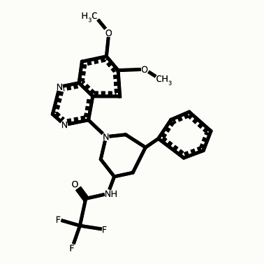 COc1cc2ncnc(N3CC(NC(=O)C(F)(F)F)CC(c4ccccc4)C3)c2cc1OC